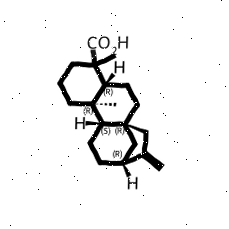 C=C1C[C@]23CC[C@H]4C(C)(C(=O)O)CCC[C@]4(C)[C@H]2CC[C@@H]1C3